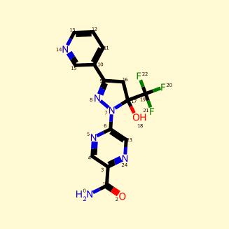 NC(=O)c1cnc(N2N=C(c3cccnc3)CC2(O)C(F)(F)F)cn1